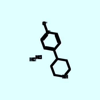 Cl.Cl.[O-][n+]1ccc(C2CCNCC2)cc1